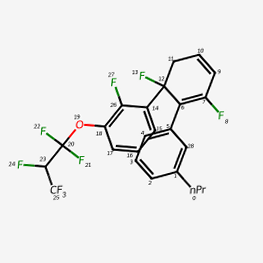 CCCc1cccc(C2=C(F)C=CCC2(F)c2cccc(OC(F)(F)C(F)C(F)(F)F)c2F)c1